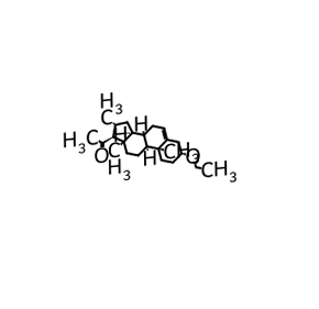 CCO[C@H]1CC[C@@]2(C)C(=CC[C@H]3[C@@H]4C[C@@H](C)[C@H](C(C)=O)[C@@]4(C)CC[C@@H]32)C1